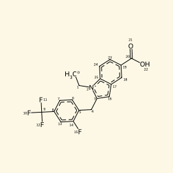 CCn1c(Cc2ccc(C(F)(F)F)cc2F)cc2cc(C(=O)O)ccc21